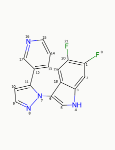 Fc1cc2[nH]cc(-n3nccc3-c3cccnc3)c2cc1F